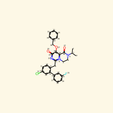 CC(C)N1CCn2c(Cc3ccc(Cl)cc3-c3cccc(F)c3)nc(=O)c(OCc3ccccc3)c2C1=O